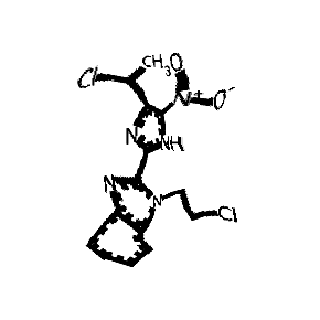 CC(Cl)c1nc(-c2nc3ccccc3n2CCCl)[nH]c1[N+](=O)[O-]